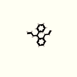 C=CCc1ccccc1C(CC=C)c1ccccc1